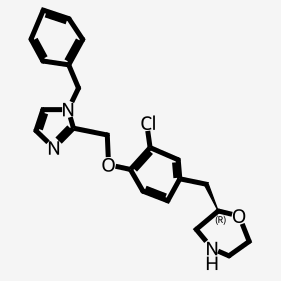 Clc1cc(C[C@@H]2CNCCO2)ccc1OCc1nccn1Cc1ccccc1